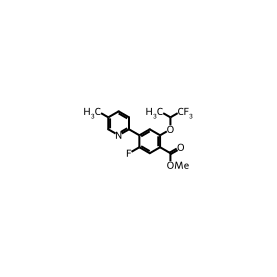 COC(=O)c1cc(F)c(-c2ccc(C)cn2)cc1OC(C)C(F)(F)F